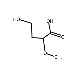 COC(CCO)C(=O)O